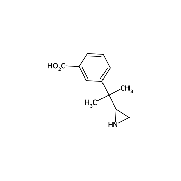 CC(C)(c1cccc(C(=O)O)c1)C1CN1